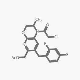 CC(=O)OCc1nc2c(cc1Cc1ccc(F)cc1F)N(C(=O)CCl)C(C)CO2